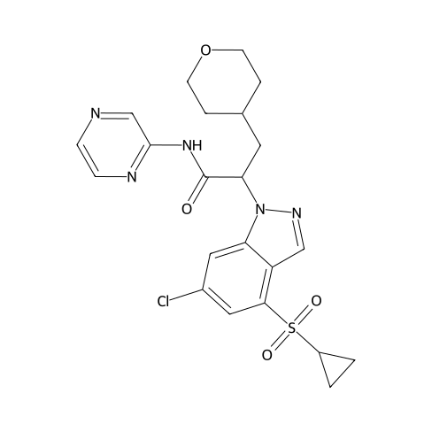 O=C(Nc1cnccn1)C(CC1CCOCC1)n1ncc2c(S(=O)(=O)C3CC3)cc(Cl)cc21